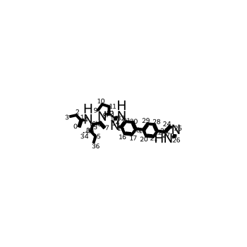 C=C(CC)N[C@H](C(=C)N1CCC[C@H]1c1nc2ccc(-c3ccc(-c4cnc[nH]4)cc3)cc2[nH]1)[C@@H](C)CC